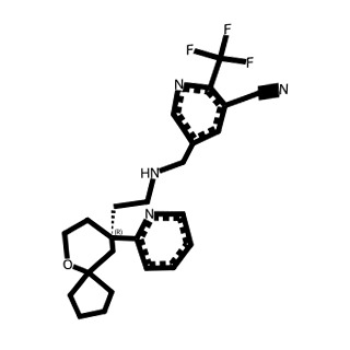 N#Cc1cc(CNCC[C@@]2(c3ccccn3)CCOC3(CCCC3)C2)cnc1C(F)(F)F